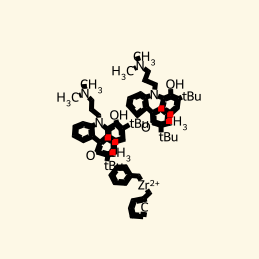 Cc1cc(N(CCCN(C)C)c2ccccc2-c2cccc(C(C)(C)C)c2[O-])c(O)c(C(C)(C)C)c1.Cc1cc(N(CCCN(C)C)c2ccccc2-c2cccc(C(C)(C)C)c2[O-])c(O)c(C(C)(C)C)c1.c1ccc([CH2][Zr+2][CH2]c2ccccc2)cc1